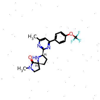 Cc1cc(-c2ccc(OC(F)(F)F)cc2)nc([C@H]2CC[C@]3(CCN(C)C3=O)N2)n1